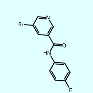 O=C(Nc1ccc(F)cc1)c1cncc(Br)c1